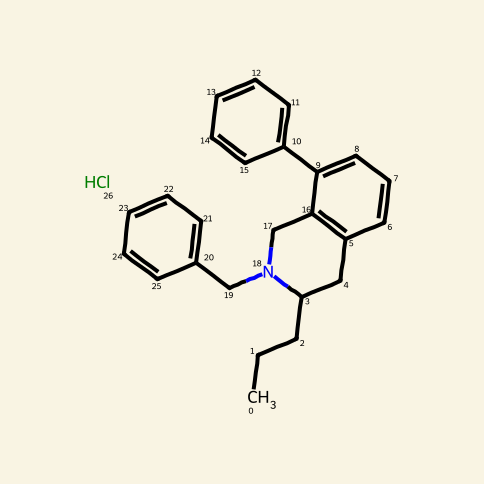 CCCC1Cc2cccc(-c3ccccc3)c2CN1Cc1ccccc1.Cl